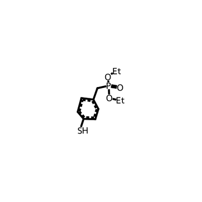 CCOP(=O)(Cc1ccc(S)cc1)OCC